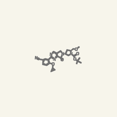 COC[C@@H]1C[C@@H](N2Cc3cnc(-c4cc(C#N)ccc4OC4CC4)nc3C2=O)CN1C(=O)OC(C)(C)C